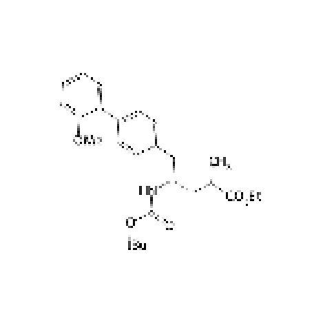 CCOC(=O)C(C)C[C@@H](Cc1ccc(-c2ccccc2OC)cc1)NC(=O)OC(C)(C)C